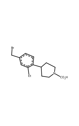 CCc1cc(CBr)ccc1C1CCN(C(=O)O)CC1